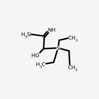 CC[Si](CC)(CC)C(O)C(=N)[SiH3]